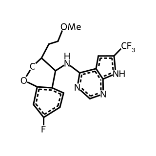 COCCC1COc2cc(F)ccc2C1Nc1ncnc2[nH]c(C(F)(F)F)cc12